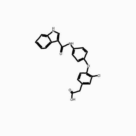 O=C(O)Cc1ccc(Oc2ccc(NC(=O)c3c[nH]c4ccccc34)cc2)c(Cl)c1